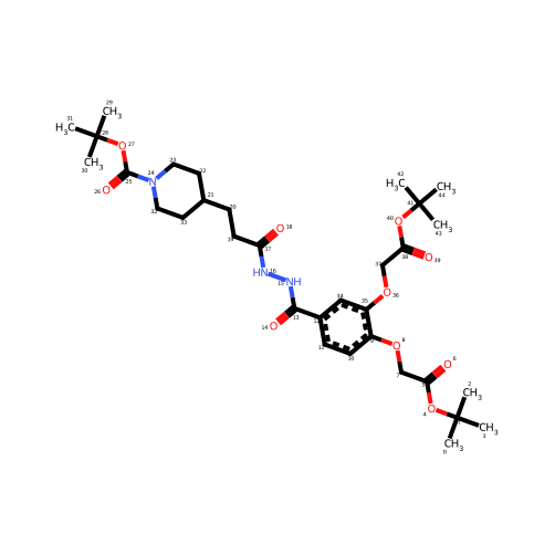 CC(C)(C)OC(=O)COc1ccc(C(=O)NNC(=O)CCC2CCN(C(=O)OC(C)(C)C)CC2)cc1OCC(=O)OC(C)(C)C